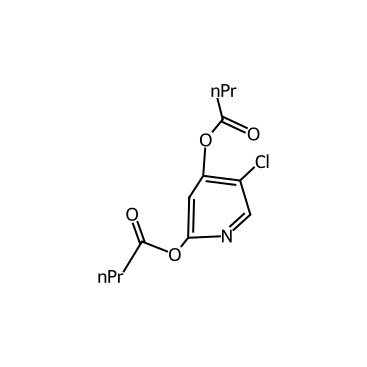 CCCC(=O)Oc1cc(OC(=O)CCC)c(Cl)cn1